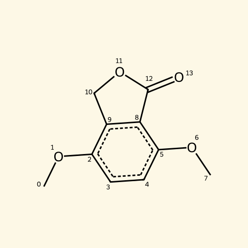 COc1ccc(OC)c2c1COC2=O